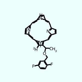 [2H]c1c(C(C)OCc2cc(F)ccc2F)c2cc3nc(cc4ccc(cc5nc(cc1[nH]2)C=C5)[nH]4)C=C3